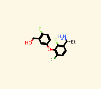 CC[C@@H](N)c1ccc(Cl)c(Oc2ccc(F)c(CO)c2)c1F